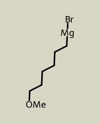 COCCCCC[CH2][Mg][Br]